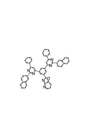 c1ccc(-c2cc(-c3cc(-c4cc(-c5ccccc5)nc(-c5ccc6ccccc6c5)n4)cc(-c4nc5ncccc5o4)c3)nc(-c3ccc4ccccc4c3)n2)cc1